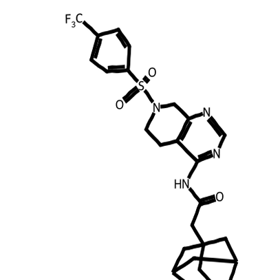 O=C(CC12CC3CC(CC(C3)C1)C2)Nc1ncnc2c1CCN(S(=O)(=O)c1ccc(C(F)(F)F)cc1)C2